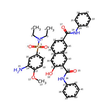 CCN(CC)S(=O)(=O)c1ccc(OC)c(N)c1.O=C(Nc1ccccc1)c1ccc2cc(O)c(C(=O)Nc3ccccc3)cc2c1